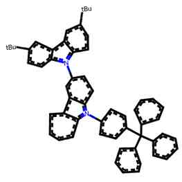 CC(C)(C)c1ccc2c(c1)c1cc(C(C)(C)C)ccc1n2-c1ccc2c(c1)c1ccccc1n2-c1ccc(C(c2ccccc2)(c2ccccc2)c2ccccc2)cc1